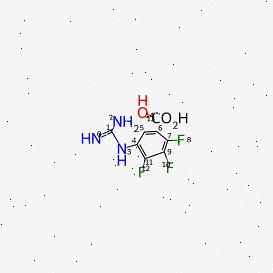 N=C(N)Nc1ccc(F)c(F)c1F.O=C(O)O